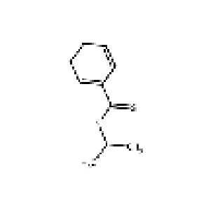 CC(C)SC(=S)C1=CCCC=C1